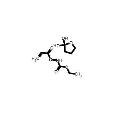 C=CC(=O)ONC(=O)OCC.OC1(O)CCCO1